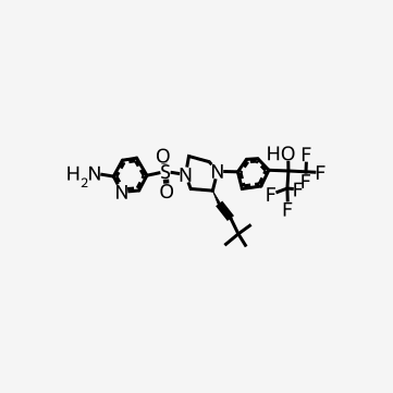 CC(C)(C)C#C[C@H]1CN(S(=O)(=O)c2ccc(N)nc2)CCN1c1ccc(C(O)(C(F)(F)F)C(F)(F)F)cc1